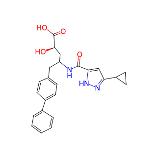 O=C(NC(Cc1ccc(-c2ccccc2)cc1)C[C@@H](O)C(=O)O)c1cc(C2CC2)n[nH]1